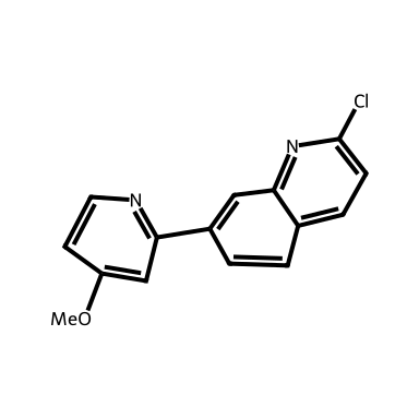 COc1ccnc(-c2ccc3ccc(Cl)nc3c2)c1